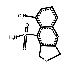 NS(=O)(=O)c1c2c(cc3cccc([N+](=O)[O-])c13)CNC2